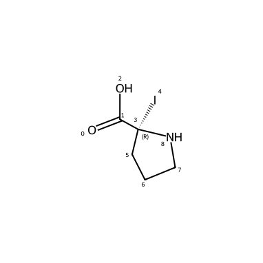 O=C(O)[C@]1(I)CCCN1